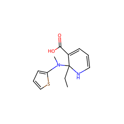 CCC1(N(C)c2cccs2)NC=CC=C1C(=O)O